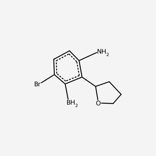 Bc1c(Br)ccc(N)c1C1CCCO1